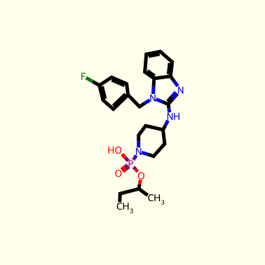 CCC(C)OP(=O)(O)N1CCC(Nc2nc3ccccc3n2Cc2ccc(F)cc2)CC1